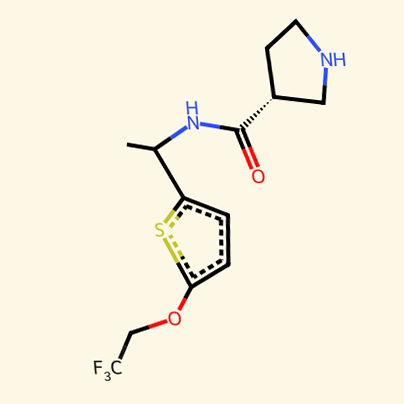 CC(NC(=O)[C@@H]1CCNC1)c1ccc(OCC(F)(F)F)s1